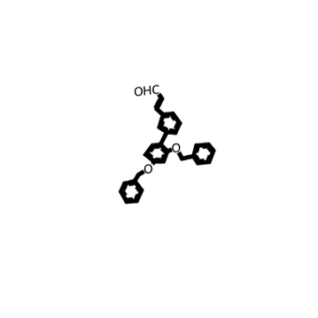 O=C/C=C/c1cccc(-c2ccc(OCc3ccccc3)cc2OCc2ccccc2)c1